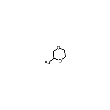 [Au][CH]1COCCO1